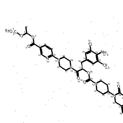 CCOC(=O)OC(C)OC(=O)c1ccc(N2CCN(C(=O)[C@@H](Cc3cc(Cl)c(N)c(C(F)(F)F)c3)OC(=O)N3CCC(N4Cc5ccccc5NC4=O)CC3)CC2)nc1